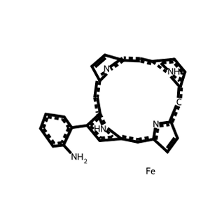 Nc1ccccc1-c1cc2cc3nc(cc4ccc(cc5nc(cc1[nH]2)C=C5)[nH]4)C=C3.[Fe]